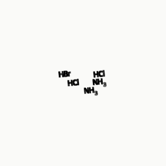 Br.Cl.Cl.N.N